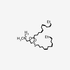 CC/C=C\C/C=C\C/C=C\CCCSSCC(CN(C)C)OC(=O)CCC/C=C\C/C=C\C/C=C\CC